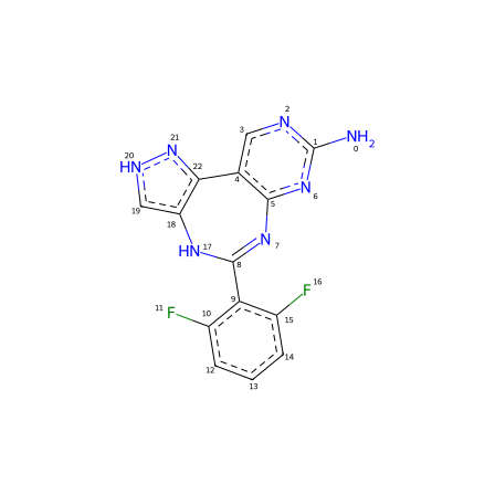 Nc1ncc2c(n1)N=C(c1c(F)cccc1F)Nc1c[nH]nc1-2